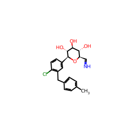 Cc1ccc(Cc2cc([C@@H]3O[C@H](C=N)[C@@H](O)[C@H](O)[C@H]3O)ccc2Cl)cc1